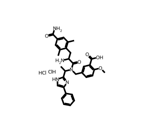 COc1ccc(CN(C(=O)C(N)Cc2c(C)cc(C(N)=O)cc2C)C(C)c2nc(-c3ccccc3)c[nH]2)cc1C(=O)O.Cl.Cl